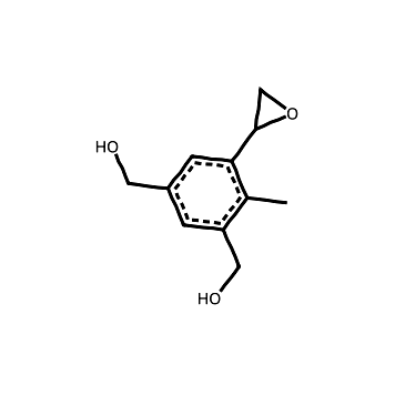 Cc1c(CO)cc(CO)cc1C1CO1